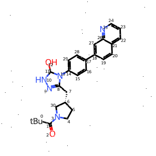 CC(C)(C)C(=O)N1CC[C@@H](CC2=NNC(O)N2c2ccc(-c3ccc4cccnc4c3)cc2)C1